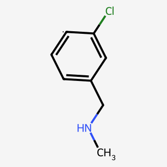 CNCc1cc[c]c(Cl)c1